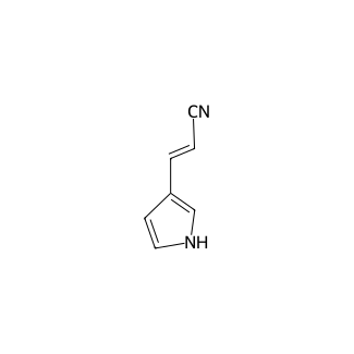 N#C/C=C/c1cc[nH]c1